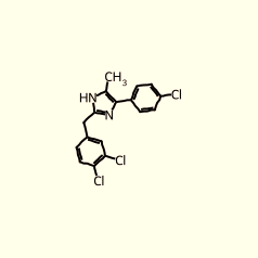 Cc1[nH]c(Cc2ccc(Cl)c(Cl)c2)nc1-c1ccc(Cl)cc1